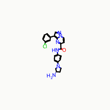 N[C@H]1CCN(c2ccc(NC(=O)c3ccn4ncc(-c5cccc(Cl)c5)c4n3)cc2)C1